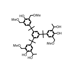 COCc1cc(C(C)(C)c2cc(C(C)(C)c3cc(COC)c(O)c(C(C)O)c3)cc(C(C)(C)c3cc(COC)c(O)c(C(C)O)c3)c2)cc(COC)c1O